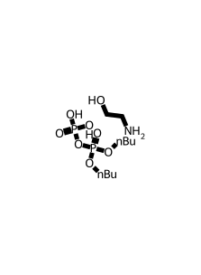 CCCCOP(=O)(OCCCC)OP(=O)(O)O.NCCO